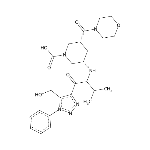 CC(C)C(N[C@H]1C[C@@H](C(=O)N2CCOCC2)CN(C(=O)O)C1)C(=O)c1nnn(-c2ccccc2)c1CO